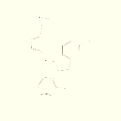 Fc1cc(Br)cc2c1C1Cc3cc(Br)ccc3N1C(c1cnc(C3CC3)s1)O2